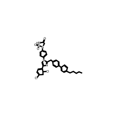 CCCCCc1ccc(-c2ccc(Cc3nc(C4=CC=C(Cl)CC4Cl)cn3-c3ccc(N4CC(=O)NS4(=O)=O)cc3)cc2)cc1